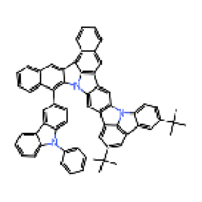 CC(C)(C)c1ccc2c(c1)c1cc(C(C)(C)C)cc3c4cc5c(cc4n2c13)c1cc2ccccc2c2c3cc4ccccc4c(-c4ccc6c(c4)c4ccccc4n6-c4ccccc4)c3n5c12